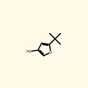 CC(C)(C)c1cc(O)co1